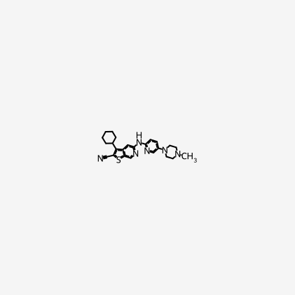 CN1CCN(c2ccc(Nc3cc4c(C5CCCCC5)c(C#N)sc4cn3)nc2)CC1